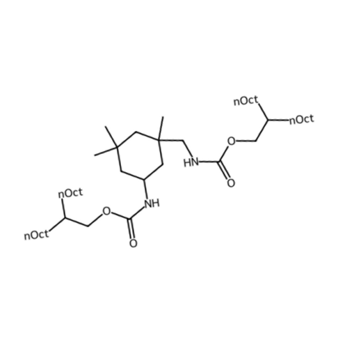 CCCCCCCCC(CCCCCCCC)COC(=O)NCC1(C)CC(NC(=O)OCC(CCCCCCCC)CCCCCCCC)CC(C)(C)C1